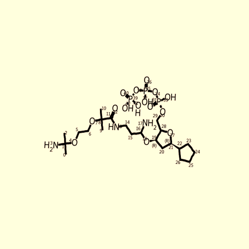 CC(C)(N)OCCOC(C)(C)C(=O)NCCC(N)O[C@@H]1C[C@H](C2CCCC2)OC1COP(=O)(O)OP(=O)(O)OP(=O)(O)O